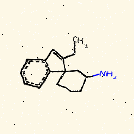 CCC1=Cc2ccccc2C12CCCC(N)C2